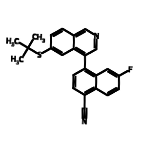 CC(C)(C)Sc1ccc2cncc(-c3ccc(C#N)c4ccc(F)cc34)c2c1